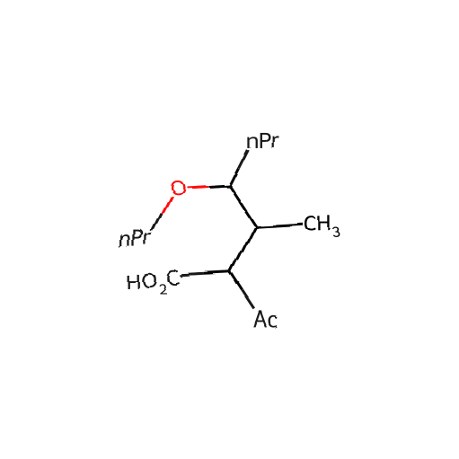 CCCOC(CCC)C(C)C(C(C)=O)C(=O)O